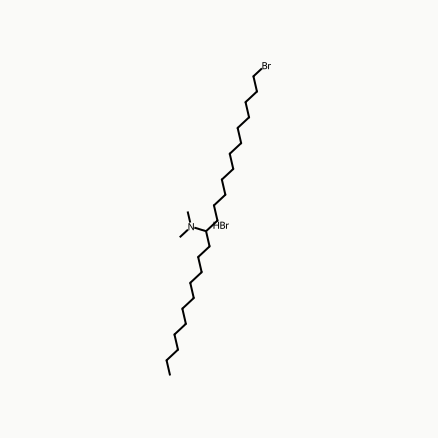 Br.CCCCCCCCCCCC(CCCCCCCCCCCCBr)N(C)C